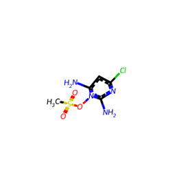 CS(=O)(=O)O[n+]1c(N)cc(Cl)nc1N